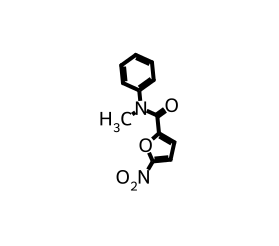 CN(C(=O)c1ccc([N+](=O)[O-])o1)c1ccccc1